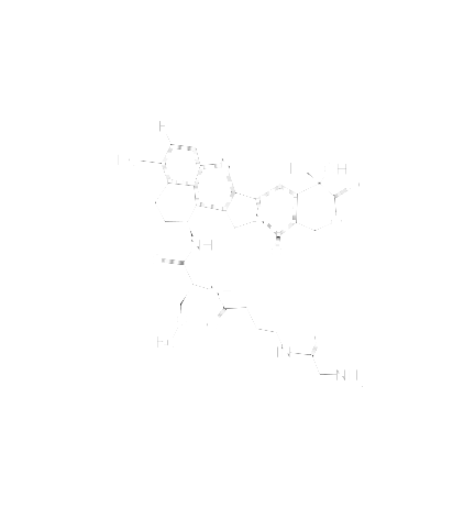 CC[C@@]1(O)C(=O)OCc2c1cc1n(c2=O)Cc2c-1nc1cc(F)c(C)c3c1c2[C@@H](NC(=O)[C@H](COC(C)(C)C)NC(=O)CCCNC(=O)CN)CC3